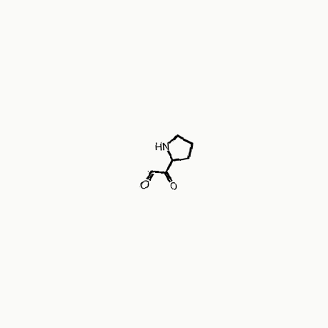 O=[C]C(=O)C1CCCN1